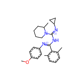 COc1ccc(/N=C(/N/C(=N/C2CC2)N2CCCCC2C)c2c(C)cccc2C)cc1